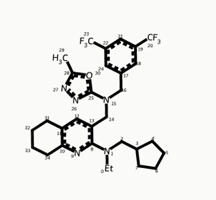 CCN(CC1CCCC1)c1nc2c(cc1CN(Cc1cc(C(F)(F)F)cc(C(F)(F)F)c1)c1nnc(C)o1)CCCC2